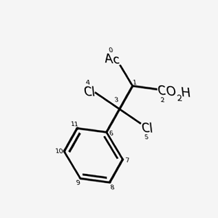 CC(=O)C(C(=O)O)C(Cl)(Cl)c1ccccc1